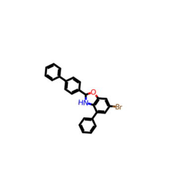 Brc1cc2c(c(-c3ccccc3)c1)NC(c1ccc(-c3ccccc3)cc1)O2